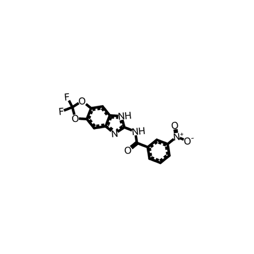 O=C(Nc1nc2cc3c(cc2[nH]1)OC(F)(F)O3)c1cccc([N+](=O)[O-])c1